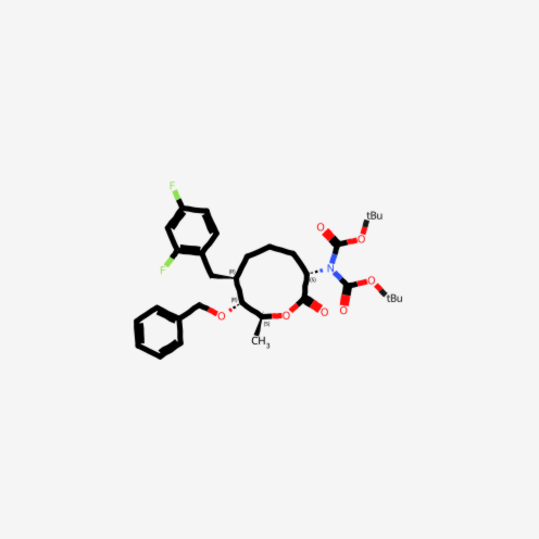 C[C@@H]1OC(=O)[C@@H](N(C(=O)OC(C)(C)C)C(=O)OC(C)(C)C)CCC[C@H](Cc2ccc(F)cc2F)[C@H]1OCc1ccccc1